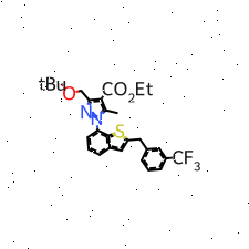 CCOC(=O)c1c(COC(C)(C)C)nn(-c2cccc3cc(Cc4cccc(C(F)(F)F)c4)sc23)c1C